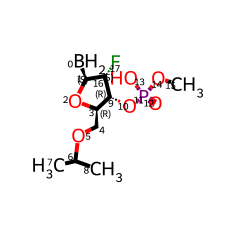 B[C@@H]1O[C@H](COC(C)C)[C@@H](OP(=O)(O)OC)[C@H]1F